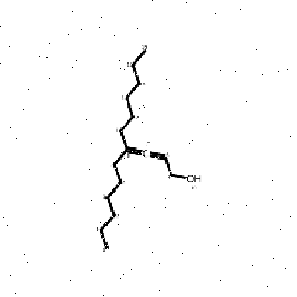 CCCCCCC(=C=CCO)CCCCCC